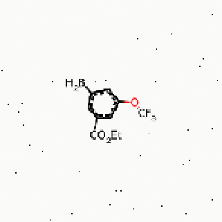 Bc1cc(OC(F)(F)F)cc(C(=O)OCC)c1